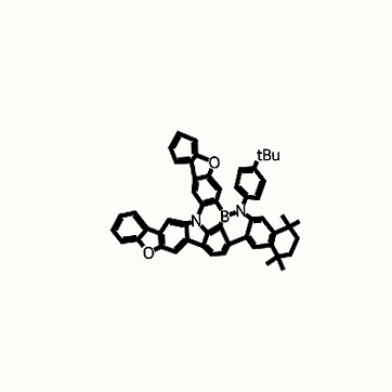 CC(C)(C)c1ccc(N2B3c4cc5oc6ccccc6c5cc4-n4c5cc6c(cc5c5ccc(c3c54)-c3cc4c(cc32)C(C)(C)CCC4(C)C)oc2ccccc26)cc1